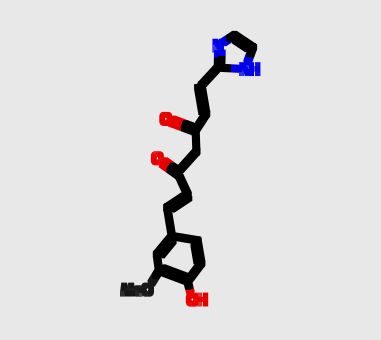 COc1cc(C=CC(=O)CC(=O)C=Cc2ncc[nH]2)ccc1O